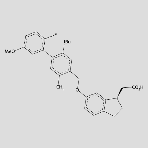 COc1ccc(F)c(-c2cc(C)c(COc3ccc4c(c3)[C@@H](CC(=O)O)CC4)cc2C(C)(C)C)c1